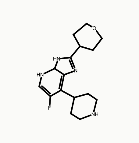 FC1=CNC2NC(C3CCOCC3)=NC2=C1C1CCNCC1